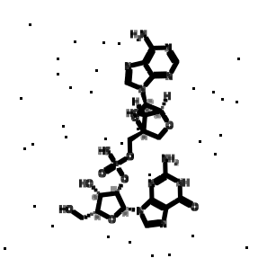 Nc1nc2c(ncn2[C@@H]2O[C@H](CO)[C@H](O)[C@@H]2OP(=O)(S)OC[C@@]23CO[C@H]([C@H](n4cnc5c(N)ncnc54)O2)[C@H]3O)c(=O)[nH]1